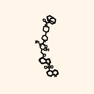 CC(C)N(CC(O)COc1cccc2c1ccn2S(=O)(=O)c1cccc2ncccc12)C(=O)N1CCC(C2CCN(C(=O)C34CC5CC(CC(C5)C3)C4)CC2)CC1